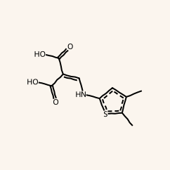 Cc1cc(NC=C(C(=O)O)C(=O)O)sc1C